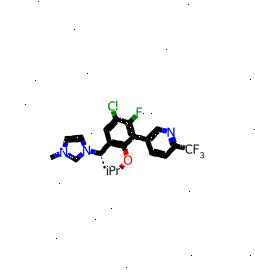 CC(C)Oc1c([C@H](C)N2C=CN(C)C2)cc(Cl)c(F)c1-c1ccc(C(F)(F)F)nc1